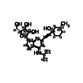 CCC(CC)Nc1nc(C#C[C@]2(O)CCC[C@@H](C)C2)nc2c1ncn2[C@@H]1O[C@H](CO)[C@@H](O)[C@H]1O